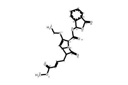 CCSC1=CC2C(C/C=C/C(=O)OC)C(=O)N2[C@@H]1C(=O)OC1OC(=O)c2ccccc21